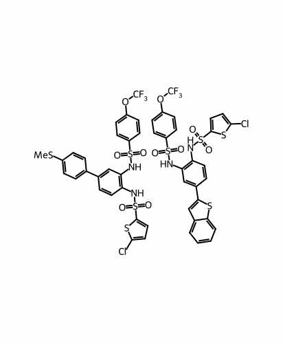 CSc1ccc(-c2ccc(NS(=O)(=O)c3ccc(Cl)s3)c(NS(=O)(=O)c3ccc(OC(F)(F)F)cc3)c2)cc1.O=S(=O)(Nc1cc(-c2cc3ccccc3s2)ccc1NS(=O)(=O)c1ccc(Cl)s1)c1ccc(OC(F)(F)F)cc1